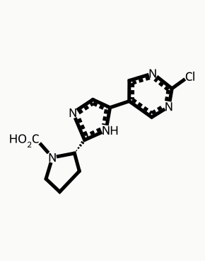 O=C(O)N1CCC[C@H]1c1ncc(-c2cnc(Cl)nc2)[nH]1